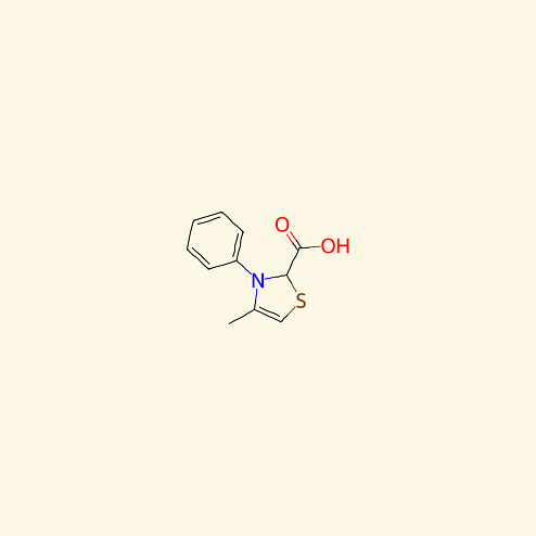 CC1=CSC(C(=O)O)N1c1ccccc1